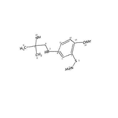 CNSc1cc(BCC(C)(C)C(C)(C)C)ccc1OC